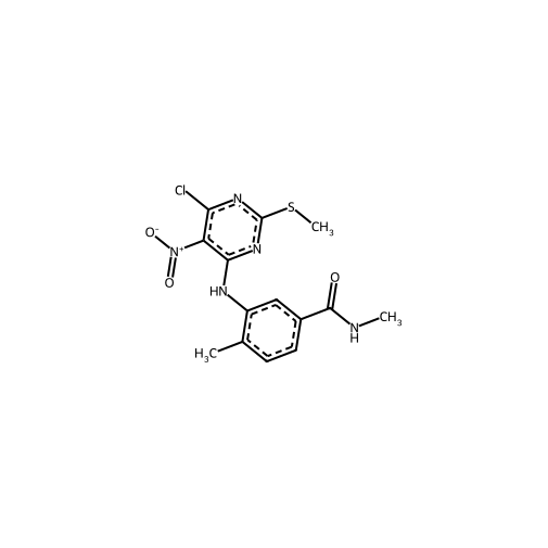 CNC(=O)c1ccc(C)c(Nc2nc(SC)nc(Cl)c2[N+](=O)[O-])c1